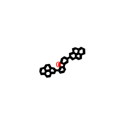 c1cc2ccc3cc(-c4ccc5oc6c(-c7cc8ccc9cccc%10ccc(c7)c8c9%10)cccc6c5c4)cc4ccc(c1)c2c34